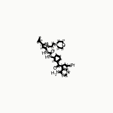 CC(C)c1cc(C(=O)c2cccc(NC(=O)Nc3cc(C4CC4)nn3CCN3CCOCC3)c2)c2c(N)ncnn12